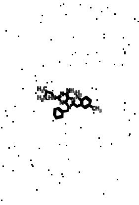 Cc1ccc(N)c(Cc2nc3c(N)nc(NCC(C)N)nc3n2Cc2ccccc2)c1